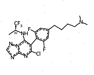 C[C@H](Nc1c(-c2c(F)cc(CCCCN(C)C)cc2F)c(Cl)nc2ncnn12)C(F)(F)F